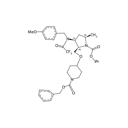 COc1ccc(CN(C(=O)C(F)(F)F)[C@H]2C[C@@H](C)N(C(=O)OC(C)C)[C@H]2COC2CCN(C(=O)OCc3ccccc3)CC2)cc1